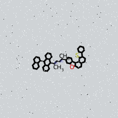 C/C(=C\C=C(/C)c1c2ccccc2c(-c2cccc3ccccc23)c2ccccc12)c1ccc2c(c1)oc1ccc3ccc4c5ccccc5sc4c3c12